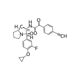 C#Cc1ccc(C(=O)C(=O)N[C@H](C)[C@](O)(c2ccc(OC3CC3)c(F)c2)N2CCCC2)cc1